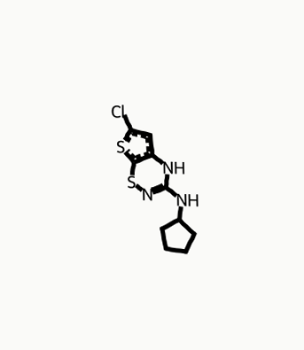 Clc1cc2c(s1)SN=C(NC1CCCC1)N2